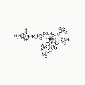 CC(NC(=O)OCCOCCN1C(=O)C=CC1=O)C(=O)NC(CCCNC(N)=O)C(=O)Nc1ccc(COC(=O)N(C)CCN(C)C(=O)Oc2ccc(C(=O)NCCCC(NC(=O)c3ccc(NCc4cnc5nc(N)nc(N)c5n4)cc3)C(=O)O)cc2)cc1